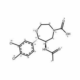 CC(=O)N[C@@H]1CN(C(=O)O)CCO[C@H]1c1ccc(Cl)c(Cl)c1